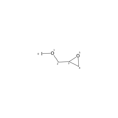 IOCC1CO1